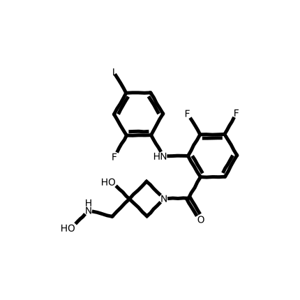 O=C(c1ccc(F)c(F)c1Nc1ccc(I)cc1F)N1CC(O)(CNO)C1